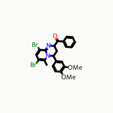 COc1ccc(C2CC(C(=O)c3ccccc3)N=C3C(Br)=CC(Br)=C(C)N32)cc1OC